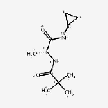 C[C@@H](NC(=O)C(C)(C)C)C(=O)NC1CC1